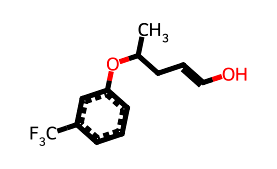 CC(CC=CO)Oc1cccc(C(F)(F)F)c1